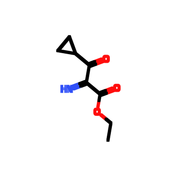 CCOC(=O)C(=N)C(=O)C1CC1